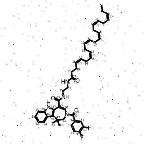 CC/C=C\C/C=C\C/C=C\C/C=C\C/C=C\C/C=C\CCC(=O)NCCNC(=O)C1=CN(C(=O)c2ccc(F)c(F)c2)CC(C)(C)c2c1[nH]c1ccccc21